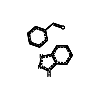 O=Cc1ccccc1.c1ccc2[nH]nnc2c1